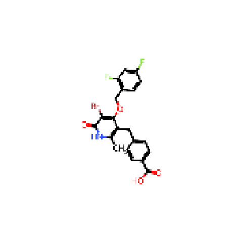 Cc1[nH]c(=O)c(Br)c(OCc2ccc(F)cc2F)c1Cc1ccc(C(=O)O)cc1